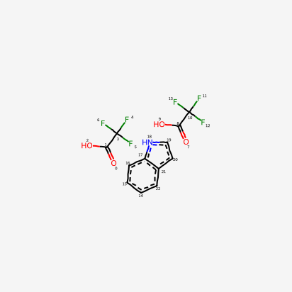 O=C(O)C(F)(F)F.O=C(O)C(F)(F)F.c1ccc2[nH]ccc2c1